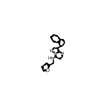 c1coc(CNc2ccnc3c(-c4cccc5ccccc45)cnn23)c1